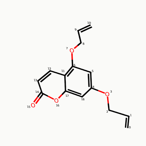 C=CCOc1cc(OCC=C)c2ccc(=O)oc2c1